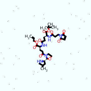 C=CCOC(=O)[C@H](CCC(=O)N1CCOC1[C@@H]1CC(=C)CN1)NC(=O)CC[C@H](NC(=O)CCN1C(=O)C=CC1=O)C(=O)OC(C)(C)C